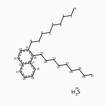 CCCCCCCCCc1ccc2ccccc2c1CCCCCCCCC.S